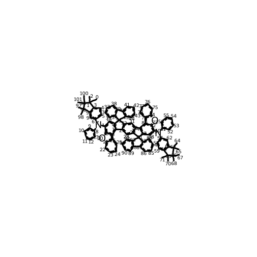 CC1(C)c2ccc(N(c3ccccc3)c3cc4c(c5c3oc3ccccc35)-c3cc5c(cc3C43c4ccccc4-c4ccccc43)-c3c(cc(N(c4ccccc4)c4ccc6c(c4)C(C)(C)C(C)(C)C6(C)C)c4oc6ccccc6c34)C53c4ccccc4-c4ccccc43)cc2C(C)(C)C1(C)C